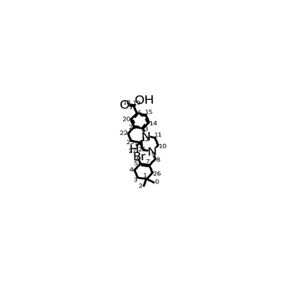 CC1(C)CCC(Br)=C(CN2CCN3c4ccc(C(=O)O)cc4CC[C@@H]3C2)C1